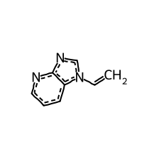 C=Cn1cnc2ncccc21